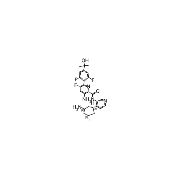 C[C@@H]1C[C@@H](N)C[C@H](c2ccncc2NC(=O)c2nc(-c3c(F)cc(C(C)(C)O)cc3F)c(F)cc2N)C1